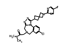 CN(C)C(=O)CN1Cc2cc(Cl)ccc2-n2c(nnc2C2CC3(C2)CN(c2ncc(F)cn2)C3)C1